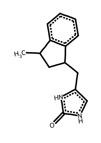 CC1CC(Cc2c[nH]c(=O)[nH]2)c2ccccc21